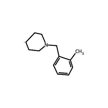 Cc1ccccc1CN1CC[CH]CC1